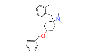 Cc1ccccc1CC1(N(C)C)CCC(OCc2ccccc2)CC1